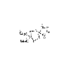 C#CC1(OC)CCC2(CC1)OCCO2